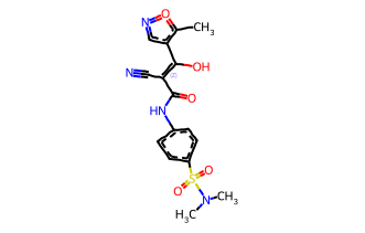 Cc1oncc1/C(O)=C(\C#N)C(=O)Nc1ccc(S(=O)(=O)N(C)C)cc1